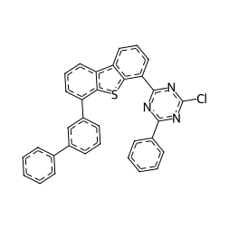 Clc1nc(-c2ccccc2)nc(-c2cccc3c2sc2c(-c4cccc(-c5ccccc5)c4)cccc23)n1